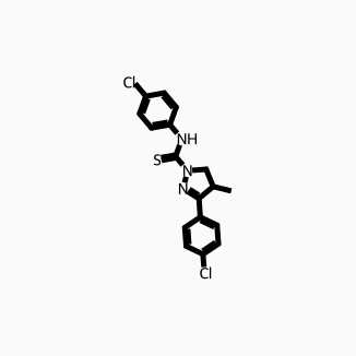 CC1CN(C(=S)Nc2ccc(Cl)cc2)N=C1c1ccc(Cl)cc1